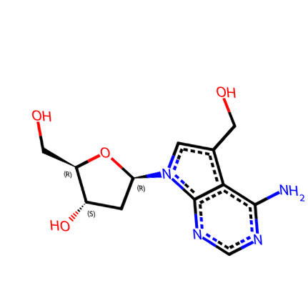 Nc1ncnc2c1c(CO)cn2[C@H]1C[C@H](O)[C@@H](CO)O1